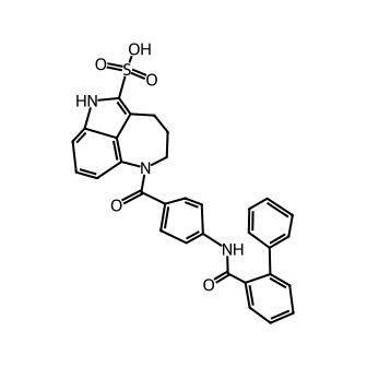 O=C(Nc1ccc(C(=O)N2CCCc3c(S(=O)(=O)O)[nH]c4cccc2c34)cc1)c1ccccc1-c1ccccc1